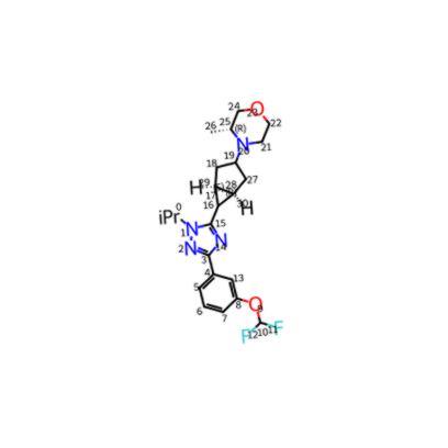 CC(C)n1nc(-c2cccc(OC(F)F)c2)nc1C1[C@H]2CC(N3CCOC[C@H]3C)C[C@@H]12